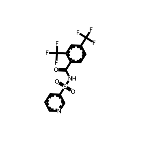 O=C(NS(=O)(=O)c1cccnc1)c1ccc(C(F)(F)F)cc1C(F)(F)F